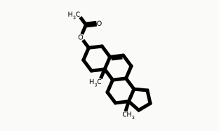 CC(=O)OC1CCC2(C)C(=CCC3C4CCCC4(C)CCC32)C1